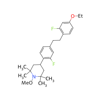 CCOc1ccc(CCc2ccc(C3CC(C)(C)N(OC)C(C)(C)C3)c(F)c2)c(F)c1